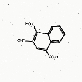 O=Cc1cc(C(=O)O)c2ccccc2c1C(=O)O